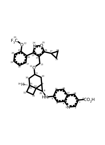 O=C(O)c1cnc2cc(N[C@@H]3C4CC(OCc5c(-c6ccccc6OC(F)(F)F)noc5C5CC5)C[C@@H]5CCC453)ccc2c1